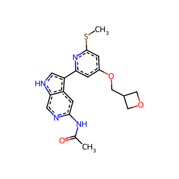 CSc1cc(OCC2COC2)cc(-c2c[nH]c3cnc(NC(C)=O)cc23)n1